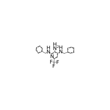 Nc1c(NCc2ccccc2)cc(C(F)(F)F)nc1NCc1ccccc1